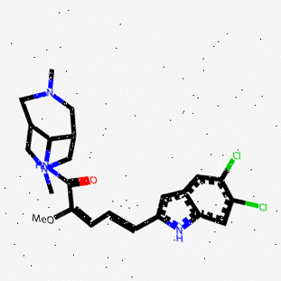 COC(=CC=Cc1cc2cc(Cl)c(Cl)cc2[nH]1)C(=O)NC1C2CN(C)CC1CN(C)C2